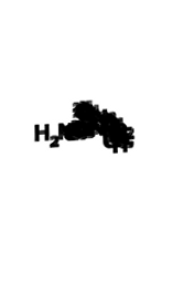 NCc1ccc(-c2nc3nc(OC(=O)C(F)(F)F)ccc3nc2-c2ccccc2)cc1